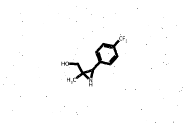 CC1(CO)NC1c1ccc(C(F)(F)F)cc1